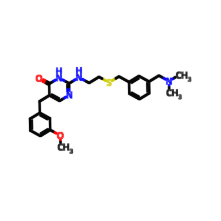 COc1cccc(Cc2cnc(NCCSCc3cccc(CN(C)C)c3)[nH]c2=O)c1